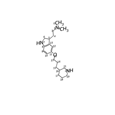 CN(C)CCC1CNc2ccc(OCCCC3CCCNC3)cc21